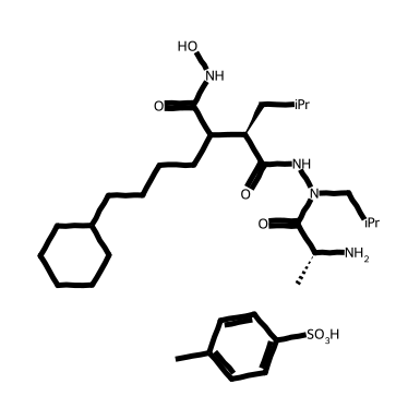 CC(C)C[C@@H](C(=O)NN(CC(C)C)C(=O)[C@@H](C)N)C(CCCCC1CCCCC1)C(=O)NO.Cc1ccc(S(=O)(=O)O)cc1